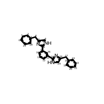 c1ccc(Cc2c[nH]c(-c3cccc(-c4nc(Cc5ccccc5)c[nH]4)c3)n2)cc1